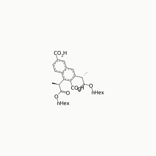 CCCCCCOC(=O)[C@@H](C)c1cc2cc(C(=O)O)ccc2c([C@H](C)C(=O)OCCCCCC)c1C(=O)O